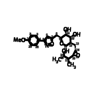 COc1ccc(-c2cc(C[C@@H]3OC[C@H](C[C@@H]4O[C@H]4[C@@H](C)[C@H](C)O)[C@@H](O)[C@H]3O)on2)cc1